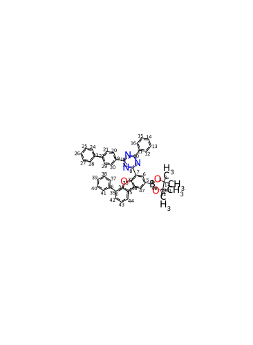 CC1(C)OB(c2cc(-c3nc(-c4ccccc4)nc(-c4ccc(-c5ccccc5)cc4)n3)c3oc4c(-c5ccccc5)cccc4c3c2)OC1(C)C